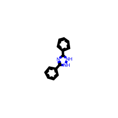 c1ccc(C2=NC(c3ccccc3)NN2)cc1